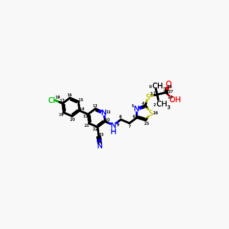 CC(C)(Sc1nc(CCNc2ncc(-c3ccc(Cl)cc3)cc2C#N)cs1)C(=O)O